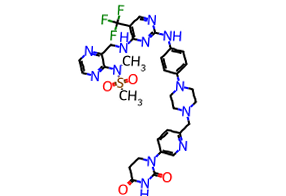 CN(c1nccnc1CNc1nc(Nc2ccc(N3CCN(Cc4ccc(N5CCC(=O)NC5=O)cn4)CC3)cc2)ncc1C(F)(F)F)S(C)(=O)=O